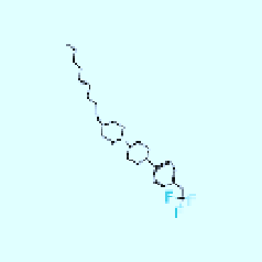 CCCCCCCCC[C@H]1CC[C@H](C2CCC(c3ccc(CC(F)(F)F)cc3)CC2)CC1